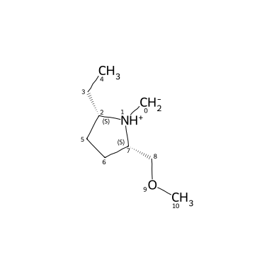 [CH2-][NH+]1[C@@H](CC)CC[C@H]1COC